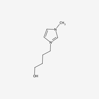 Cn1cc[n+](CCCCO)c1